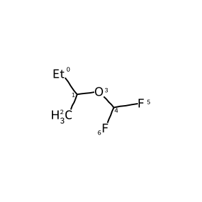 CCC(C)OC(F)F